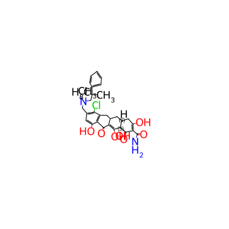 CCN(Cc1cc(O)c2c(c1Cl)CC1C[C@H]3CC(O)=C(C(N)=O)C(=O)[C@@]3(O)C(O)=C1C2=O)CC(C)(C)c1ccccc1